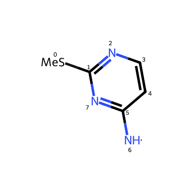 CSc1nccc([NH])n1